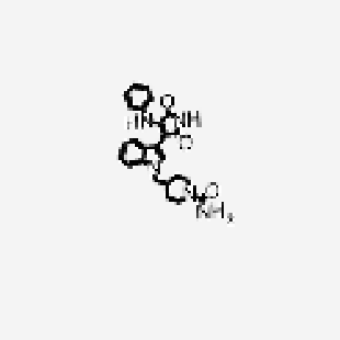 NC(=O)N1CCC(Cn2cc(C3=C(Nc4ccccc4)C(=O)NC3=O)c3ccccc32)CC1